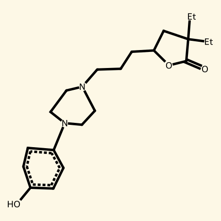 CCC1(CC)CC(CCCN2CCN(c3ccc(O)cc3)CC2)OC1=O